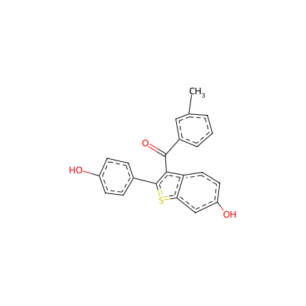 Cc1cccc(C(=O)c2c(-c3ccc(O)cc3)sc3cc(O)ccc23)c1